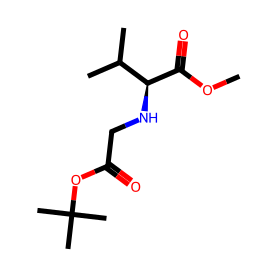 COC(=O)[C@@H](NCC(=O)OC(C)(C)C)C(C)C